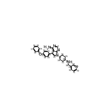 Nc1ncnc2c1c(-c1ccc(Oc3ccccc3)cc1)cn2[C@H]1CC[C@@H](NCc2cccnc2)CC1